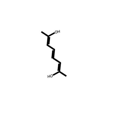 CC(O)=CC=CC=C(C)O